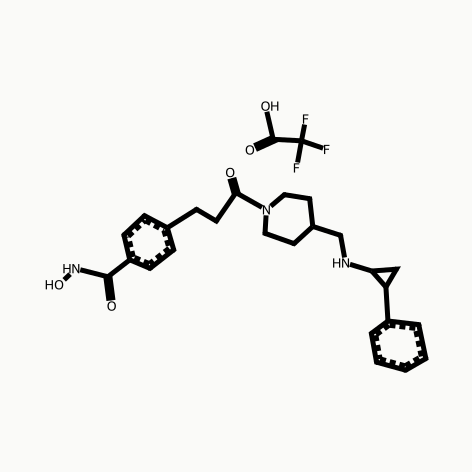 O=C(NO)c1ccc(CCC(=O)N2CCC(CNC3CC3c3ccccc3)CC2)cc1.O=C(O)C(F)(F)F